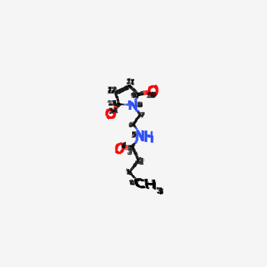 CCCC(=O)NCCN1C(=O)C=CC1=O